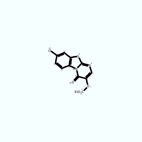 CCOC(=O)Oc1cnc2sc3cc(Cl)ccc3n2c1=O